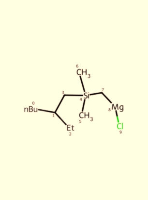 CCCCC(CC)C[Si](C)(C)[CH2][Mg][Cl]